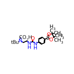 CC(C)(C)N(CCNC(=O)Nc1ccc(B2OC(C)(C)C(C)(C)O2)cc1)C(=O)O